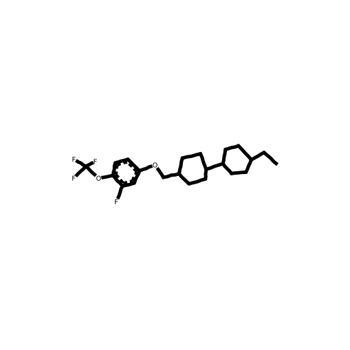 CCC1CCC(C2CCC(COc3ccc(OC(F)(F)F)c(F)c3)CC2)CC1